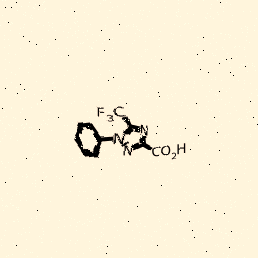 O=C(O)c1nc(C(F)(F)F)n(-c2ccccc2)n1